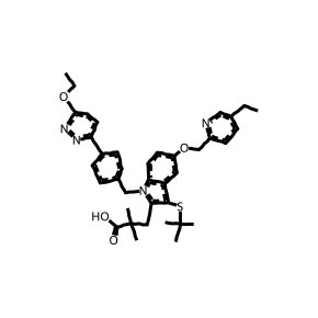 CCOc1ccc(-c2ccc(Cn3c(CC(C)(C)C(=O)O)c(SC(C)(C)C)c4cc(OCc5ccc(CC)cn5)ccc43)cc2)nn1